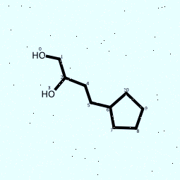 OCC(O)CCC1CCCC1